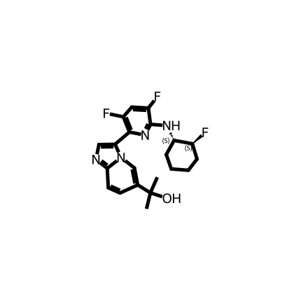 CC(C)(O)c1ccc2ncc(-c3nc(N[C@H]4CCCC[C@@H]4F)c(F)cc3F)n2c1